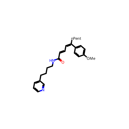 CCCCCC(=CC=CC(=O)NCCCCc1cccnc1)c1ccc(OC)cc1